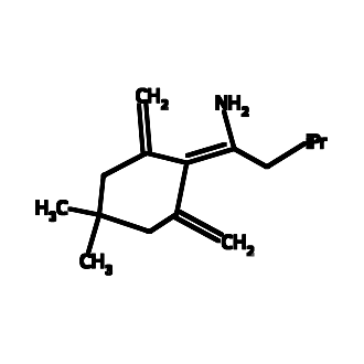 C=C1CC(C)(C)CC(=C)C1=C(N)CC(C)C